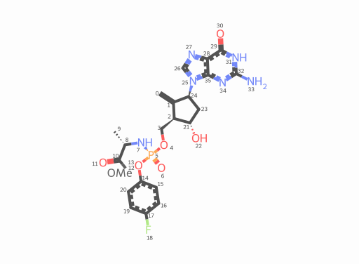 C=C1[C@H](CO[P@@](=O)(N[C@@H](C)C(=O)OC)Oc2ccc(F)cc2)[C@@H](O)C[C@@H]1n1cnc2c(=O)[nH]c(N)nc21